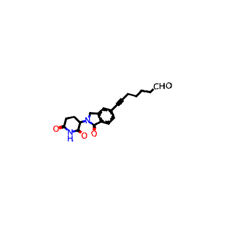 O=CCCCCC#Cc1ccc2c(c1)CN(C1CCC(=O)NC1=O)C2=O